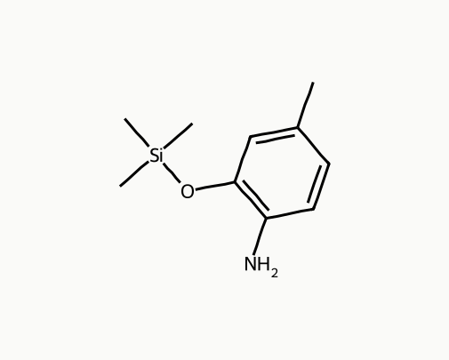 Cc1ccc(N)c(O[Si](C)(C)C)c1